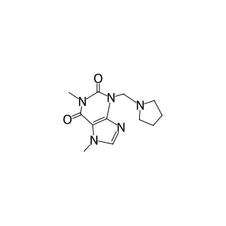 Cn1c(=O)c2c(ncn2C)n(CN2CCCC2)c1=O